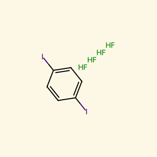 F.F.F.F.Ic1ccc(I)cc1